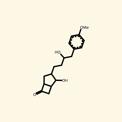 COc1ccc(CC(O)CCC2CC3C(=O)CC3C2O)cc1